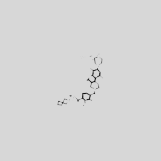 CCOc1c(C(=O)NS(=O)(=O)N2CC3(CCC3)C2)ccc(C(=O)N2CCc3c(c(=O)oc4c(C)c(N5CCN(C)[C@@H](COC)C5)cc(C)c34)C2)c1F